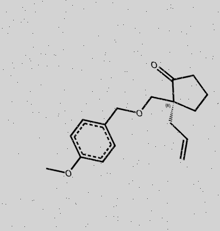 C=CC[C@@]1(COCc2ccc(OC)cc2)CCCC1=O